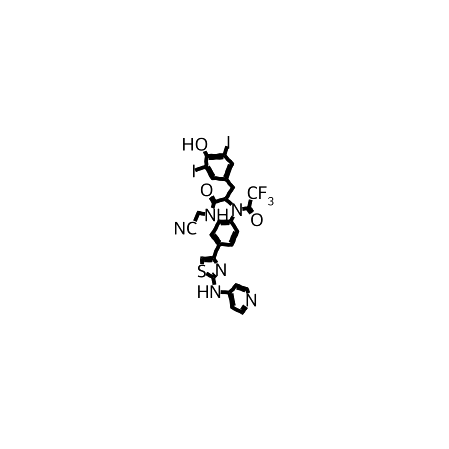 N#CCNC(=O)C(Cc1cc(I)c(O)c(I)c1)N(C(=O)C(F)(F)F)c1ccc(-c2csc(Nc3ccncc3)n2)cc1